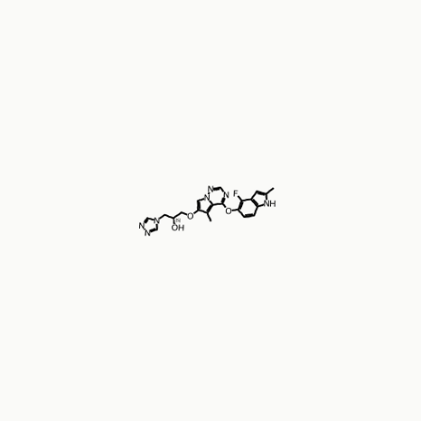 Cc1cc2c(F)c(Oc3ncnn4cc(OC[C@@H](O)Cn5cnnc5)c(C)c34)ccc2[nH]1